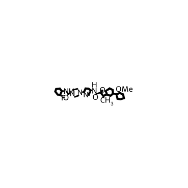 COc1ccccc1-c1ccc2oc(C(=O)Nc3ccc(N4CCN(C(=O)Nc5ccccc5F)CC4)nc3)c(C)c2c1